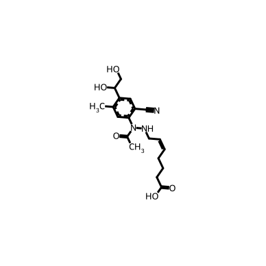 CC(=O)N(NC/C=C\CCCC(=O)O)c1cc(C)c(C(O)CO)cc1C#N